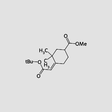 COC(=O)C1CCC(=CC(=O)OC(C)(C)C)C(C)(C)C1